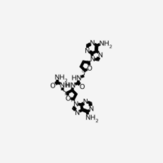 NC(=O)NC[C@H]1O[C@@H](n2cnc3c(N)ncnc32)CC1NC(=O)NC[C@@H]1CC[C@H](n2cnc3c(N)ncnc32)O1